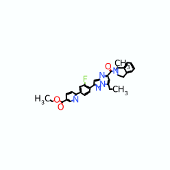 CCOC(=O)c1ccc(-c2ccc(-c3cc4nc(C(=O)N5CCc6ccccc6[C@H]5C)cc(CC)n4n3)c(F)c2)nc1